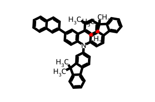 Cc1cccc(C)c1-c1cc(-c2ccc3ccccc3c2)ccc1N(c1ccc2c(c1)C(C)(C)c1ccccc1-2)c1ccc2c(c1)C(C)(C)c1ccccc1-2